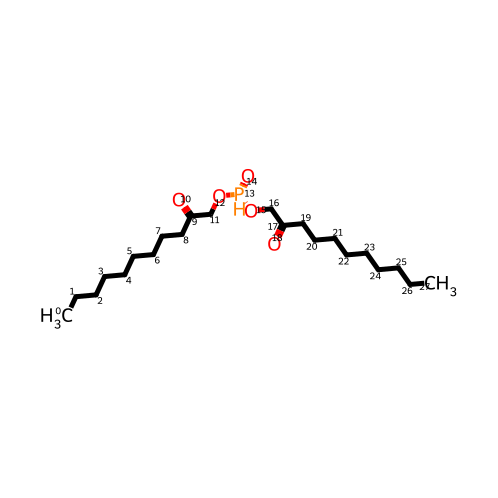 CCCCCCCCCC(=O)CO[PH](=O)OCC(=O)CCCCCCCCC